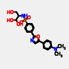 CN(C)c1ccc(-c2cnc(-c3ccc(S(=O)(=O)NC(CO)C(O)O)cc3)o2)cc1